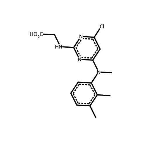 Cc1cccc(N(C)c2cc(Cl)nc(NCC(=O)O)n2)c1C